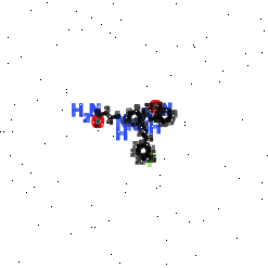 NC(=O)CCCNc1ccc(N(C=O)Cc2cccnc2)c(NCCc2cccc(F)c2)n1